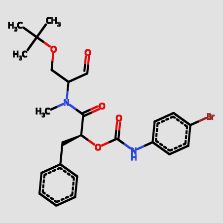 CN(C(=O)[C@H](Cc1ccccc1)OC(=O)Nc1ccc(Br)cc1)C(C=O)COC(C)(C)C